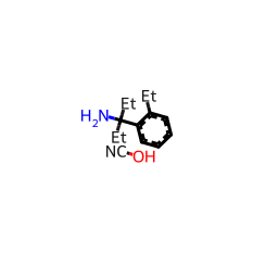 CCc1ccccc1C(N)(CC)CC.N#CO